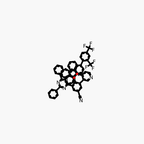 N#Cc1cc(-c2nc(-c3ccccc3)nc(-c3ccccc3)n2)c(-n2c3ccccc3c3cc(-c4ccc(C(F)(F)F)cc4C(F)(F)F)ccc32)c(-c2cnccc2-n2c3ccccc3c3ccccc32)c1